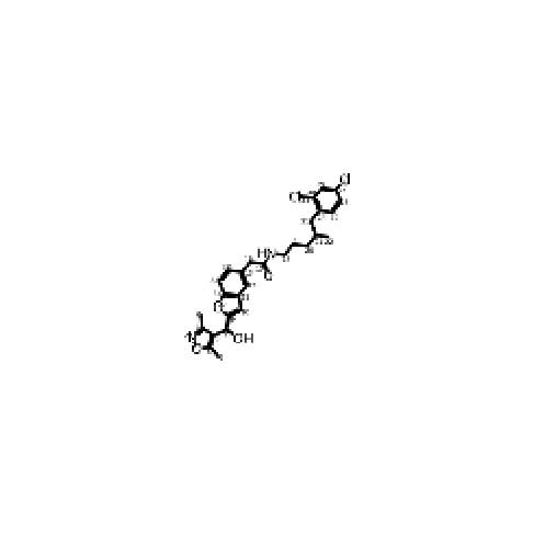 Cc1noc(C)c1C(O)c1cc2cc(CC(=O)NCCCC(C)Cc3ccc(Cl)cc3Cl)ccc2o1